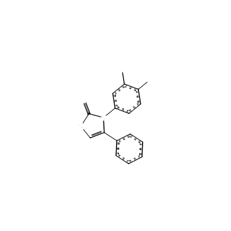 O=C1[N]C=C(c2ccccc2)N1c1ccc(Cl)c(Cl)c1